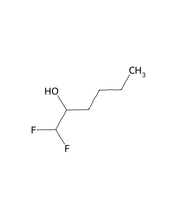 CCCCC(O)C(F)F